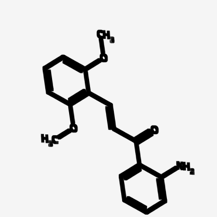 COc1cccc(OC)c1C=CC(=O)c1ccccc1N